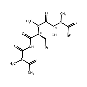 CCCC(=O)N(C)[C@H](O)C(=O)N(C)[C@@H](CC(C)C)C(=O)NC(=O)N(C)C(N)=O